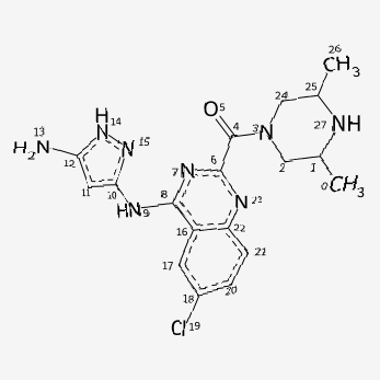 CC1CN(C(=O)c2nc(Nc3cc(N)[nH]n3)c3cc(Cl)ccc3n2)CC(C)N1